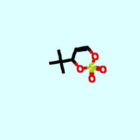 CC(C)(C)C1C=COS(=O)(=O)O1